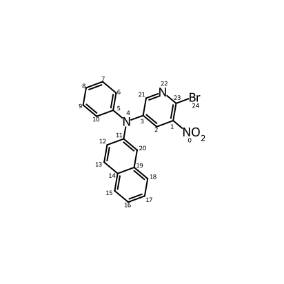 O=[N+]([O-])c1cc(N(c2ccccc2)c2ccc3ccccc3c2)cnc1Br